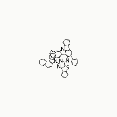 c1ccc2cc3c(cc2c1)c1c2c(cc4c5ccccc5n3c41)c1ccccc1n2-c1nc(-n2c3ccccc3c3c4ccccc4ccc32)nc2c1sc1ccccc12